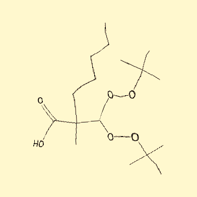 CCCCCC(C)(C(=O)O)C(OOC(C)(C)C)OOC(C)(C)C